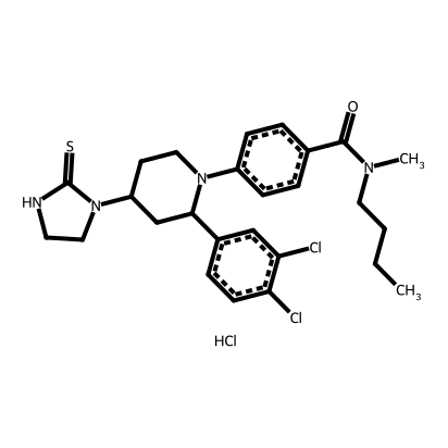 CCCCN(C)C(=O)c1ccc(N2CCC(N3CCNC3=S)CC2c2ccc(Cl)c(Cl)c2)cc1.Cl